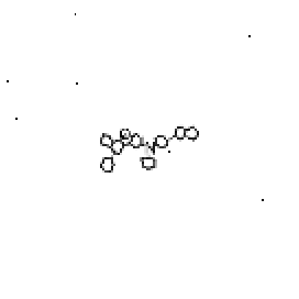 c1ccc(-c2cc3c4cc(N(c5ccccc5)c5ccc(-c6ccc7ccccc7c6)cc5)ccc4oc3c3ccccc23)cc1